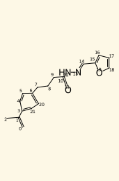 C=C(C)c1ccc(CCCC(=O)N/N=C/c2ccco2)cc1